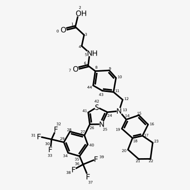 O=C(O)CCNC(=O)c1ccc(CN(c2ccc3c(c2)CCCC3)c2nc(-c3cc(C(F)(F)F)cc(C(F)(F)F)c3)cs2)cc1